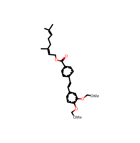 COCOc1ccc(C=Cc2ccc(C(=O)OCC=C(C)CCC=C(C)C)cc2)cc1OCOC